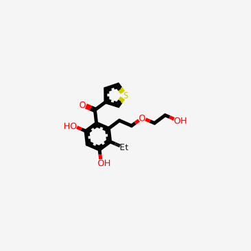 CCc1c(O)cc(O)c(C(=O)c2ccsc2)c1CCOCCO